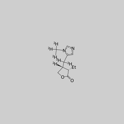 [2H]C([2H])([2H])n1cncc1C([2H])([2H])[C@@]1([2H])COC(=O)[C@H]1CC